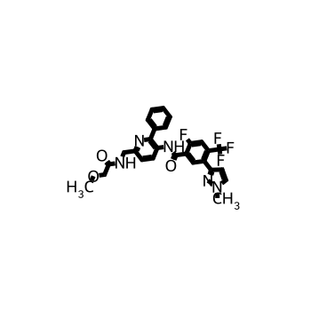 COCC(=O)NCc1ccc(NC(=O)c2cc(-c3ccn(C)n3)c(C(F)(F)F)cc2F)c(-c2ccccc2)n1